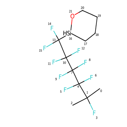 CC(C)(F)C(F)(F)C(F)(F)C(F)(F)C(F)(F)[SiH]1CCCCO1